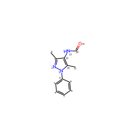 Cc1nn(-c2ccccc2)c(C)c1NC=O